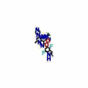 C=C/C=C(\C(N)c1ncnc(Oc2cc(F)c3[nH]c(C)cc3c2F)c1C(=O)NC1CC1)N1CCN(C)CC1